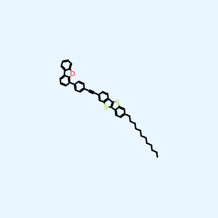 CCCCCCCCCCCCc1ccc2c(c1)sc1c3ccc(C#Cc4ccc(-c5cccc6c5oc5ccccc56)cc4)cc3sc21